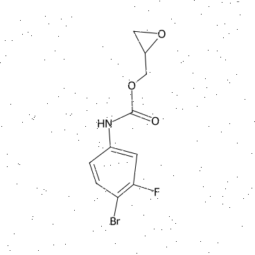 O=C(Nc1ccc(Br)c(F)c1)OCC1CO1